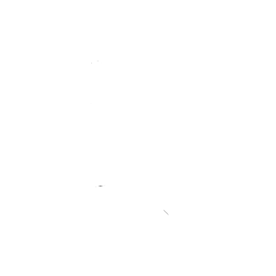 CCCCC=CCCCCCCCC(=O)OCCCCCCCCCCCCCC(C)CC